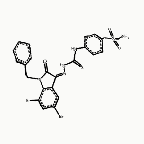 NS(=O)(=O)c1ccc(NC(=S)NN=C2C(=O)N(Cc3ccccc3)c3c(Br)cc(Br)cc32)cc1